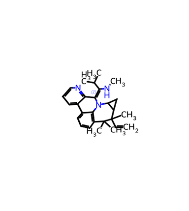 C=CC1(C)C2CC2N2/C(=C(\NC)C(C)C)c3ncccc3-c3cccc(c32)C1(C)C